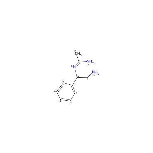 CC(N)=NC(CN)c1ccccc1